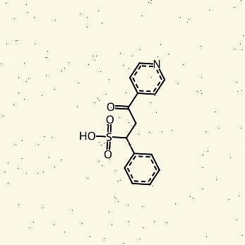 O=C(CC(c1ccccc1)S(=O)(=O)O)c1ccncc1